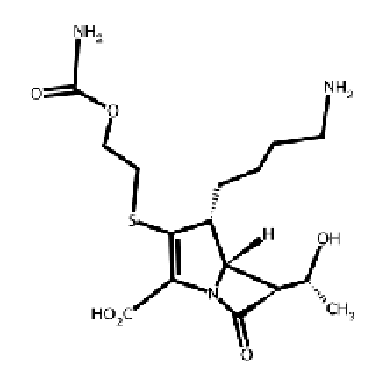 C[C@@H](O)[C@H]1C(=O)N2C(C(=O)O)=C(SCCOC(N)=O)[C@H](CCCCN)[C@H]12